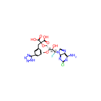 CO[C@H](COC(Cc1cccc(-c2nnn[nH]2)c1)(C(=O)O)C(=O)O)[C@@H](O)[C@H](F)n1cnc2c(N)nc(Cl)nc21